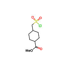 COC(=O)C1CCC(CS(=O)(=O)Cl)CC1